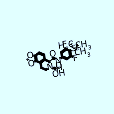 C[Si](C)(C)c1c(F)cc(NC(=O)[C@@H]2c3ccc4c(c3CCN2C(=O)O)OCO4)cc1F